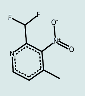 Cc1ccnc(C(F)F)c1[N+](=O)[O-]